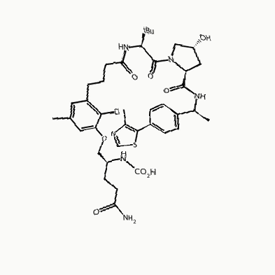 Cc1cc(CCCC(=O)N[C@H](C(=O)N2C[C@H](O)C[C@H]2C(=O)N[C@@H](C)c2ccc(-c3scnc3C)cc2)C(C)(C)C)c(Cl)c(OC[C@H](CCC(N)=O)NC(=O)O)c1